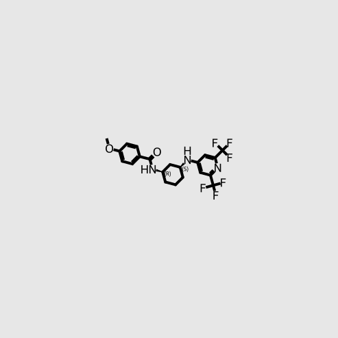 COc1ccc(C(=O)N[C@@H]2CCC[C@H](Nc3cc(C(F)(F)F)nc(C(F)(F)F)c3)C2)cc1